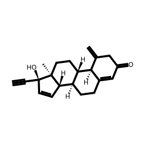 C#C[C@@]1(O)C=C[C@H]2[C@@H]3CCC4=CC(=O)CC(=C)[C@@H]4[C@H]3CC[C@@]21C